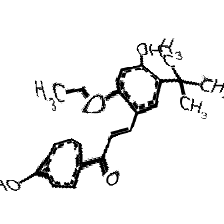 CCOc1cc(O)c(C(C)(C)C)cc1C=CC(=O)c1ccc(O)cc1